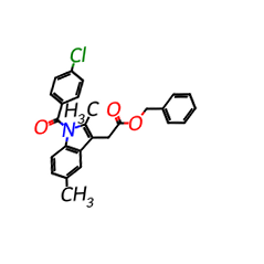 Cc1ccc2c(c1)c(CC(=O)OCc1ccccc1)c(C)n2C(=O)c1ccc(Cl)cc1